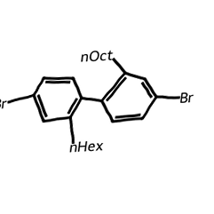 CCCCCCCCc1cc(Br)ccc1-c1ccc(Br)cc1CCCCCC